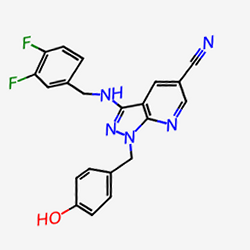 N#Cc1cnc2c(c1)c(NCc1ccc(F)c(F)c1)nn2Cc1ccc(O)cc1